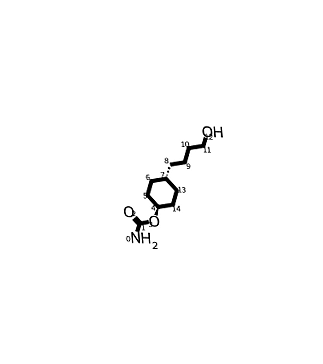 NC(=O)O[C@H]1CC[C@H](CCCCO)CC1